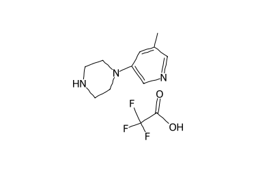 Cc1cncc(N2CCNCC2)c1.O=C(O)C(F)(F)F